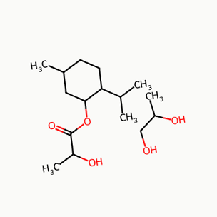 CC(O)CO.CC1CCC(C(C)C)C(OC(=O)C(C)O)C1